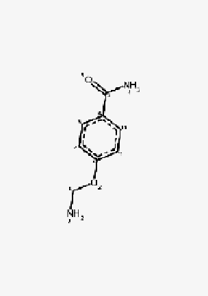 NCOc1ccc(C(N)=O)cc1